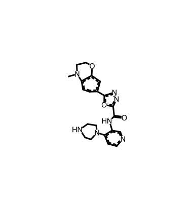 CN1CCOc2cc(-c3nnc(C(=O)Nc4cnccc4N4CCNCC4)o3)ccc21